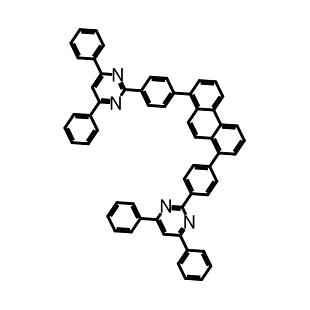 c1ccc(-c2cc(-c3ccccc3)nc(-c3ccc(-c4cccc5c4ccc4c(-c6ccc(-c7nc(-c8ccccc8)cc(-c8ccccc8)n7)cc6)cccc45)cc3)n2)cc1